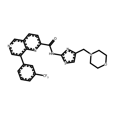 O=C(Nc1nc(CN2CCOCC2)cs1)c1ccc2cncc(-c3cccc(C(F)(F)F)c3)c2n1